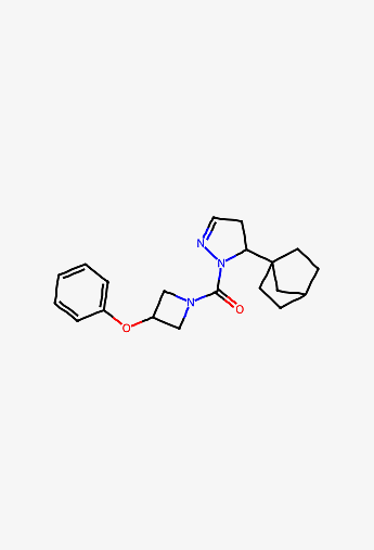 O=C(N1CC(Oc2ccccc2)C1)N1N=CCC1C12CCC(CC1)C2